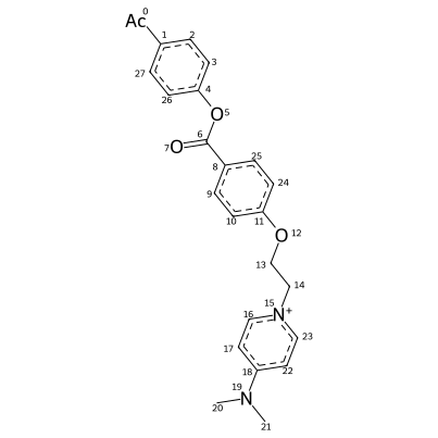 CC(=O)c1ccc(OC(=O)c2ccc(OCC[n+]3ccc(N(C)C)cc3)cc2)cc1